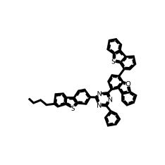 CCCCc1ccc2c(c1)sc1cc(-c3nc(-c4ccccc4)nc(-c4ccc(-c5cccc6c5sc5ccccc56)c5oc6ccccc6c45)n3)ccc12